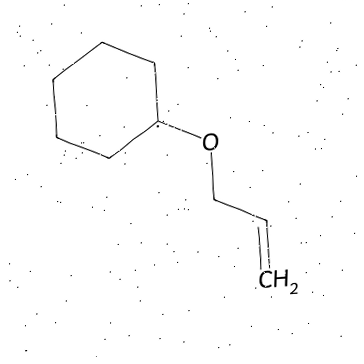 C=CCO[C]1CCCCC1